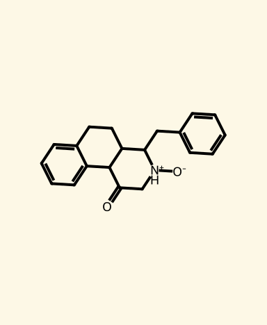 O=C1C[NH+]([O-])C(Cc2ccccc2)C2CCc3ccccc3C12